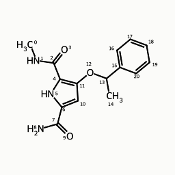 CNC(=O)c1[nH]c(C(N)=O)cc1OC(C)c1ccccc1